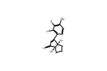 O=C1C=C(c2ccc(O)c(F)c2F)[C@@H]2CCC[C@H]12